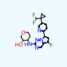 OC1COCCC1Nc1ncc2c(F)cc(-c3ccc(C4(C(F)F)CC4)cn3)n2n1